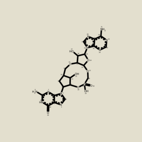 Nc1nc2c(ncn2C2CC3COC4C(OCP(=O)(O)OC2C3O)OC(n2cnc3c(N)ncnc32)C4O)c(=O)[nH]1